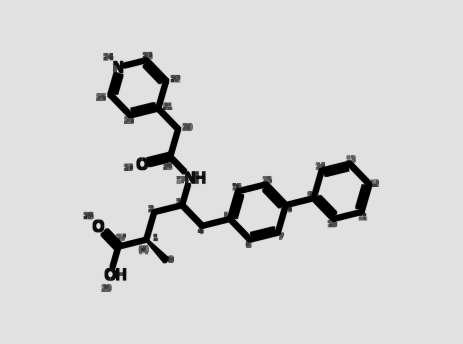 C[C@H](CC(Cc1ccc(-c2ccccc2)cc1)NC(=O)Cc1ccncc1)C(=O)O